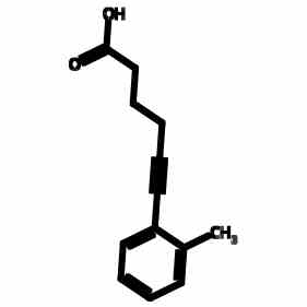 Cc1ccccc1C#CCCCC(=O)O